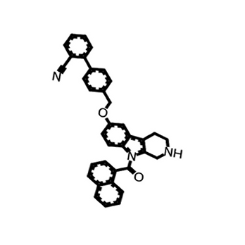 N#Cc1ccccc1-c1ccc(COc2ccc3c(c2)c2c(n3C(=O)c3cccc4ccccc34)CNCC2)cc1